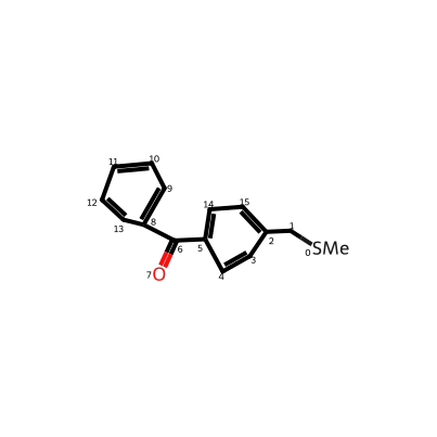 CSCc1ccc(C(=O)c2ccccc2)cc1